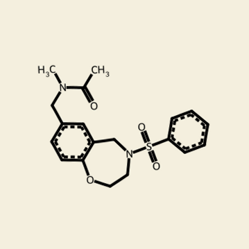 CC(=O)N(C)Cc1ccc2c(c1)CN(S(=O)(=O)c1ccccc1)CCO2